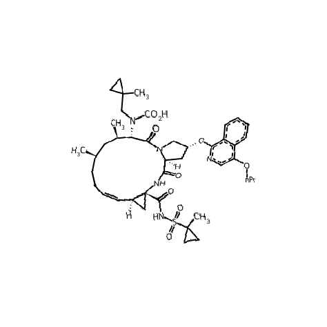 CCCOc1cnc(O[C@@H]2C[C@H]3C(=O)N[C@]4(C(=O)NS(=O)(=O)C5(C)CC5)C[C@H]4C=CCC[C@@H](C)C[C@@H](C)[C@H](N(CC4(C)CC4)C(=O)O)C(=O)N3C2)c2ccccc12